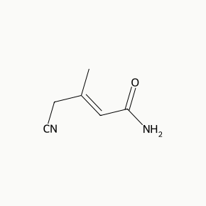 CC(=CC(N)=O)CC#N